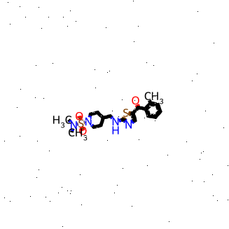 Cc1ccccc1C(=O)c1cnc(NCC2CCN(S(=O)(=O)N(C)C)CC2)s1